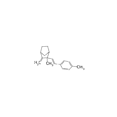 C=C1C2CCC(C2)C1(C)C=Cc1ccc(C)cc1